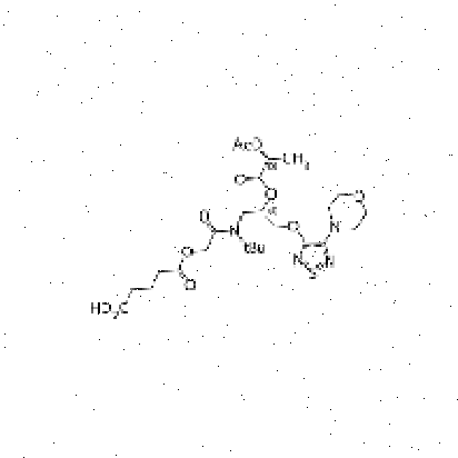 CC(=O)O[C@@H](C)C(=O)O[C@H](COc1nsnc1N1CCOCC1)CN(C(=O)COC(=O)CCCC(=O)O)C(C)(C)C